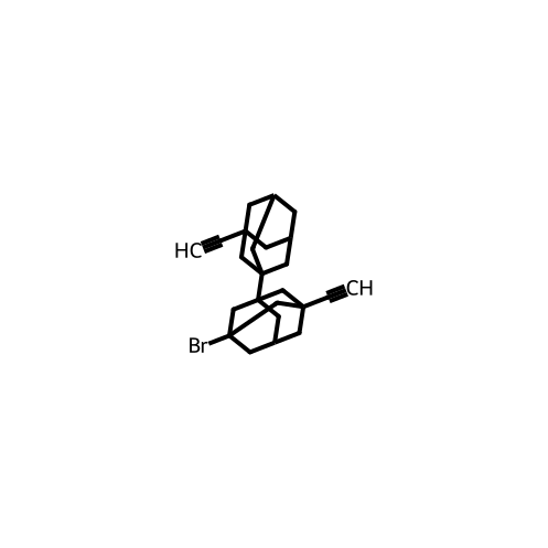 C#CC12CC3CC(C1)CC(C14CC5CC(Br)(CC(C#C)(C5)C1)C4)(C3)C2